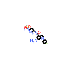 CS(=O)(=O)Nc1ccc(CNC(=O)c2cc(N)cc3c2ccn3-c2ccc(F)cc2)cn1